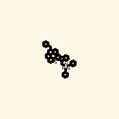 C(=C1/c2ccccc2-c2ccc3c(sc4ccc5ccc6cc(Cc7ccccc7)c7ccccc7c6c5c43)c21)/c1nc(-c2ccccc2)nc(-c2ccccc2)n1